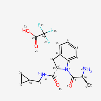 CC[C@H](N)C(=O)N1c2ccccc2C[C@H]1C(=O)NCC1CC1.O=C(O)C(F)(F)F